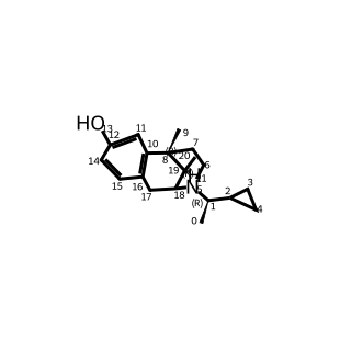 C[C@H](C1CC1)N1CC[C@@]2(C)c3cc(O)ccc3CC1[C@@H]2C